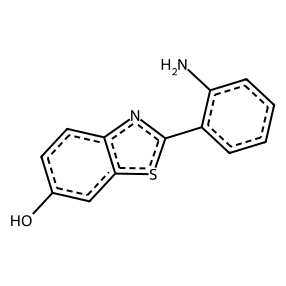 Nc1ccccc1-c1nc2ccc(O)cc2s1